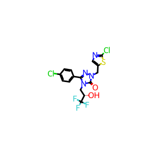 O=c1n(Cc2cnc(Cl)s2)nc(-c2ccc(Cl)cc2)n1C[C@H](O)C(F)(F)F